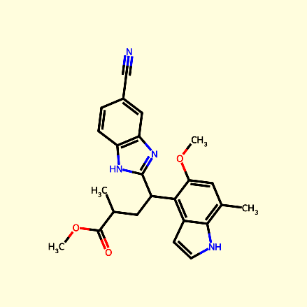 COC(=O)C(C)CC(c1nc2cc(C#N)ccc2[nH]1)c1c(OC)cc(C)c2[nH]ccc12